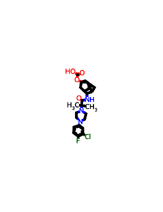 CC(C)(C(=O)NC1C2CC3CC1CC(OC(=O)O)(C3)C2)N1CCN(c2ccc(F)c(Cl)c2)CC1